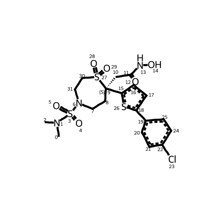 CN(C)S(=O)(=O)N1CC[C@](CC(=O)NO)(c2ccc(-c3ccc(Cl)cc3)s2)S(=O)(=O)CC1